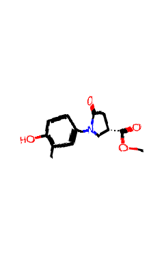 COC(=O)[C@H]1CC(=O)N(c2ccc(O)c(C)c2)C1